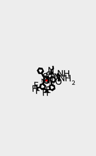 CCN(C)C(=O)C[C@]1(N(C=N)C(N)=O)CC[C@@](CO[C@H](C)c2cc(C(F)(F)F)cc(C(F)(F)F)c2)(c2ccccc2)N(C(=O)OCc2ccccc2)C1